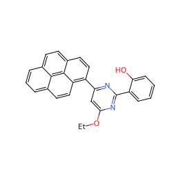 CCOc1cc(-c2ccc3ccc4cccc5ccc2c3c45)nc(-c2ccccc2O)n1